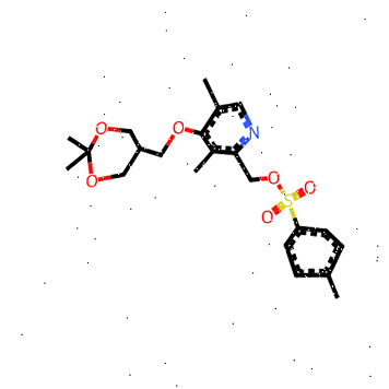 Cc1ccc(S(=O)(=O)OCc2ncc(C)c(OCC3COC(C)(C)OC3)c2C)cc1